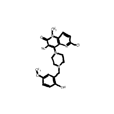 Cn1c(=O)c(C#N)c(N2CCN(Cc3cc(OC(F)(F)F)ccc3O)CC2)c2nc(Cl)ccc21